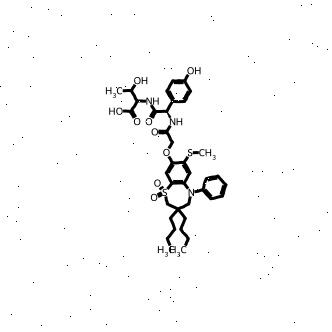 CCCCC1(CCCC)CN(c2ccccc2)c2cc(SC)c(OCC(=O)N[C@@H](C(=O)NC(C(=O)O)C(C)O)c3ccc(O)cc3)cc2S(=O)(=O)C1